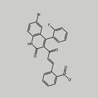 O=C(C=Cc1ccccc1[N+](=O)[O-])c1c(-c2ccccc2F)c2cc(Br)ccc2[nH]c1=O